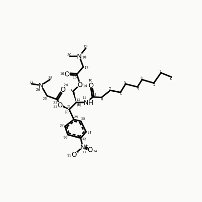 CCCCCCCCCC(=O)N[C@H](COC(=O)CN(C)C)[C@H](OC(=O)CN(C)C)c1ccc([N+](=O)[O-])cc1